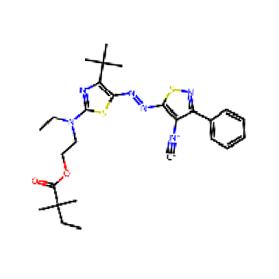 [C-]#[N+]c1c(-c2ccccc2)nsc1/N=N/c1sc(N(CC)CCOC(=O)C(C)(C)CC)nc1C(C)(C)C